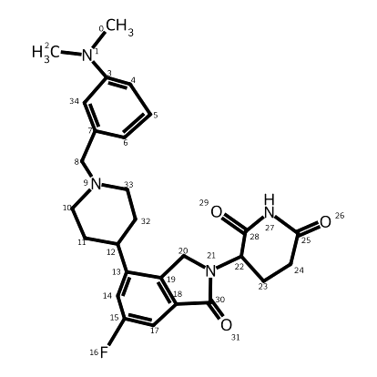 CN(C)c1cccc(CN2CCC(c3cc(F)cc4c3CN(C3CCC(=O)NC3=O)C4=O)CC2)c1